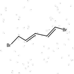 BrC=CC=CCBr